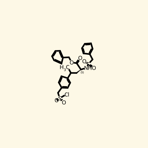 CC(C[C@H](NS(=O)(=O)Cc1ccccc1)C(=O)OCc1ccccc1)c1ccc(CS(=O)(=O)Cl)cc1